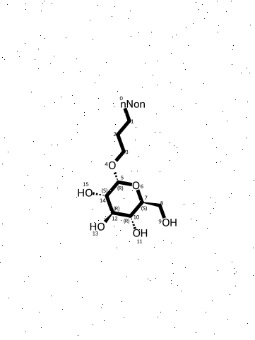 CCCCCCCCCCCCO[C@@H]1O[C@@H](CO)[C@H](O)[C@@H](O)[C@@H]1O